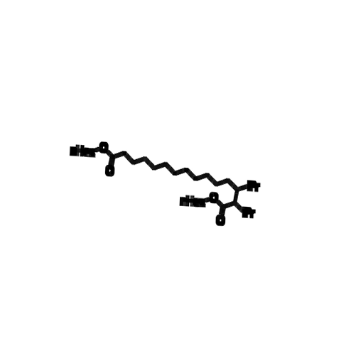 CCCCCCOC(=O)CCCCCCCCCCCC(C(C)C)C(C(=O)OCCCCCC)C(C)C